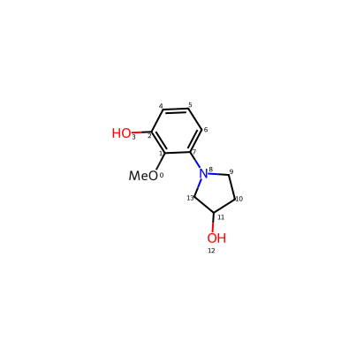 COc1c(O)cccc1N1CCC(O)C1